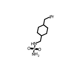 CC(C)CC1CCC(CNS(N)(=O)=O)CC1